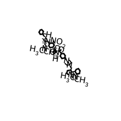 CN(C)CC[C@H](CSc1ccccc1)Nc1ccc(S(=O)(=O)NC(=O)c2ccc(N3CCN(Cc4cccnc4-c4ccccc4N(C)C)CC3)cc2)cc1[N+](=O)[O-]